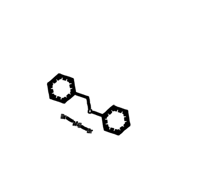 [Br][Mg][Br].[c]1ccccc1OCc1ccccc1